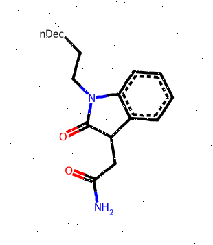 CCCCCCCCCCCCN1C(=O)C(CC(N)=O)c2ccccc21